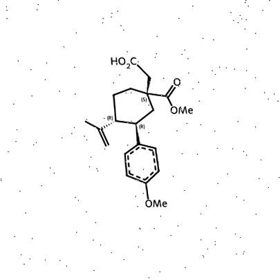 C=C(C)[C@@H]1CC[C@](CC(=O)O)(C(=O)OC)C[C@H]1c1ccc(OC)cc1